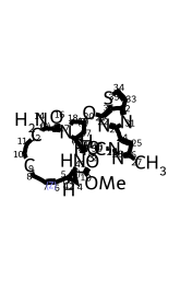 COC(=O)[C@@]12C[C@H]1/C=C\CCCCC[C@H](N)C(=O)N1C[C@H](Oc3nc(-c4cc(C)nn4C)nc4ccsc34)C[C@H]1C(=O)N2